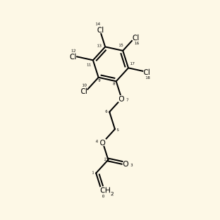 C=CC(=O)OCCOc1c(Cl)c(Cl)c(Cl)c(Cl)c1Cl